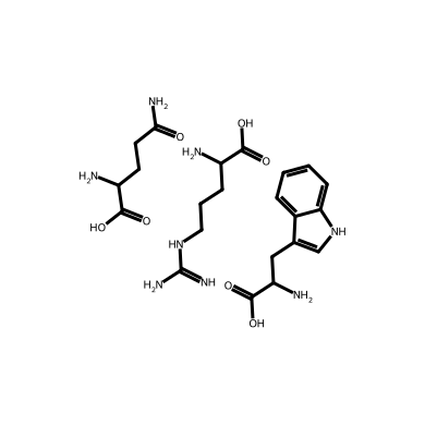 N=C(N)NCCCC(N)C(=O)O.NC(=O)CCC(N)C(=O)O.NC(Cc1c[nH]c2ccccc12)C(=O)O